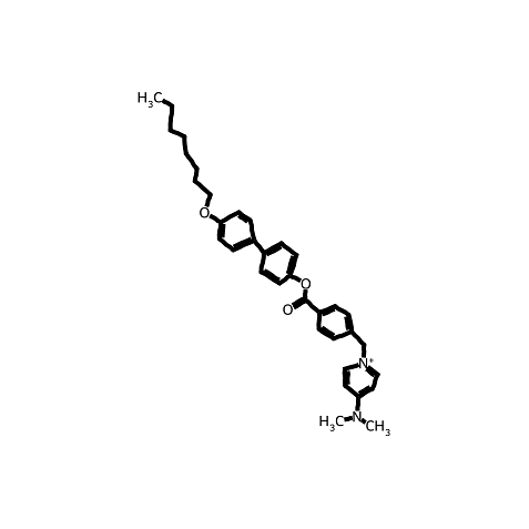 CCCCCCCCOc1ccc(-c2ccc(OC(=O)c3ccc(C[n+]4ccc(N(C)C)cc4)cc3)cc2)cc1